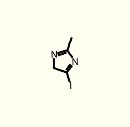 CC1=NCC(I)=N1